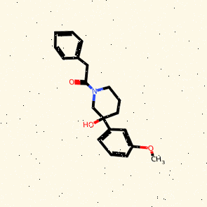 COc1cccc(C2(O)CCCN(C(=O)Cc3ccccc3)C2)c1